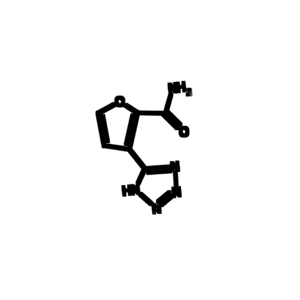 NC(=O)c1occc1-c1nnn[nH]1